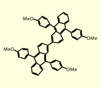 COc1ccc(-c2c3ccccc3c(-c3ccc(OC)cc3)c3cc(-c4ccc5c(-c6ccc(OC)cc6)c6ccccc6c(-c6ccc(OC)cc6)c5c4)ccc23)cc1